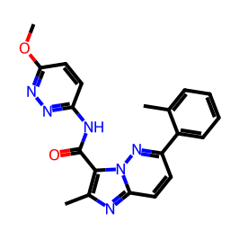 COc1ccc(NC(=O)c2c(C)nc3ccc(-c4ccccc4C)nn23)nn1